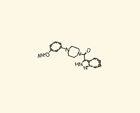 COc1cccc(N2CCN(C(=O)c3[nH]nc4ccccc34)CC2)c1